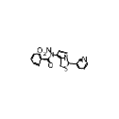 O=C(c1ccccc1)N(c1ccn2c1CSC2c1cccnc1)[N+](=O)[O-]